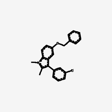 Cc1c(-c2cccc(Cl)c2)c2cc(OCc3ccccc3)ccc2n1C